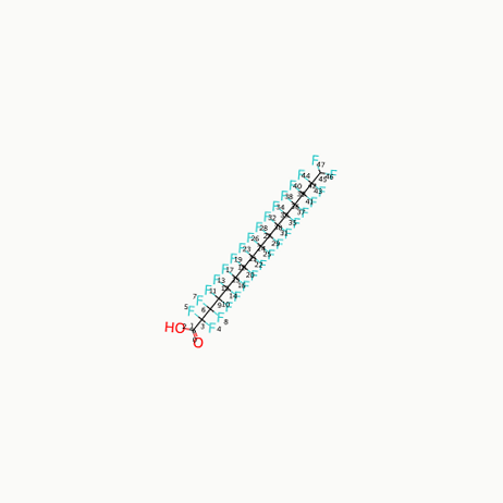 O=C(O)C(F)(F)C(F)(F)C(F)(F)C(F)(F)C(F)(F)C(F)(F)C(F)(F)C(F)(F)C(F)(F)C(F)(F)C(F)(F)C(F)(F)C(F)(F)C(F)(F)C(F)F